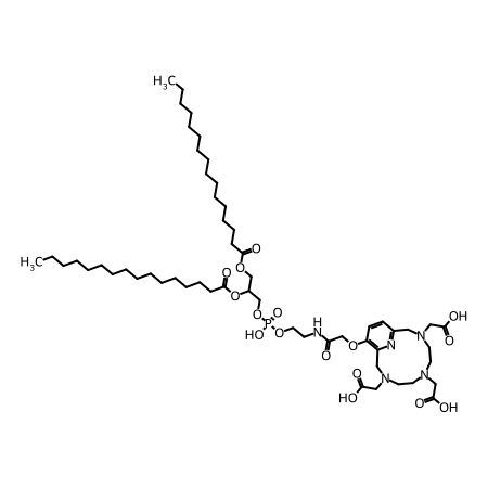 CCCCCCCCCCCCCCCC(=O)OCC(COP(=O)(O)OCCNC(=O)COc1ccc2nc1CN(CC(=O)O)CCN(CC(=O)O)CCN(CC(=O)O)C2)OC(=O)CCCCCCCCCCCCCCC